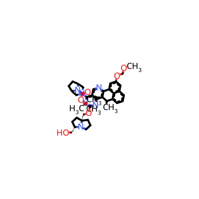 COCOc1cc2c3c(cccc3c1)C(C)c1c-2ncc2c(N3CC4CCC(C3)N4C(=O)OC(C)(C)C)nc(OC[C@]34CCCN3[C@H](CO)CC4)nc12